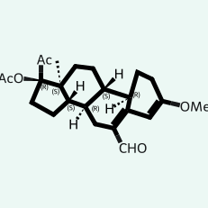 COC1=CC2=C(C=O)C[C@@H]3[C@H](CC[C@@]4(C)[C@H]3CC[C@]4(OC(C)=O)C(C)=O)[C@H]2CC1